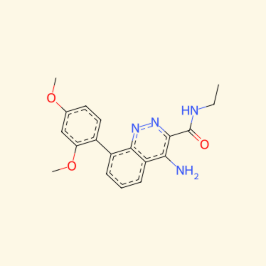 CCNC(=O)c1nnc2c(-c3ccc(OC)cc3OC)cccc2c1N